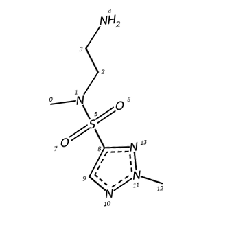 CN(CCN)S(=O)(=O)c1cnn(C)n1